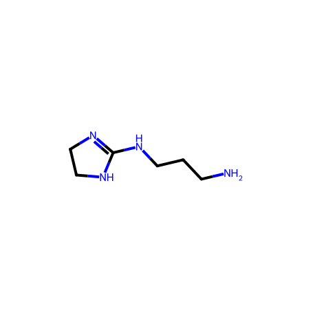 NCCCNC1=NCCN1